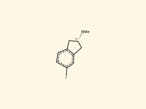 CN[C@H]1Cc2ccc(I)cc2C1